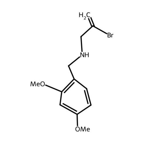 C=C(Br)CNCc1ccc(OC)cc1OC